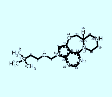 C[Si](C)(C)CCOCn1cc2c3c(ncnc31)N1CCNC[C@H]1CO2